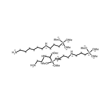 CCCCCCCCCCC(NCCN)[Si](OC)(OC)OC.CO[Si](CCCNCCCCCCN)(OC)OC.CO[Si](CCCNCCN)(OC)OC